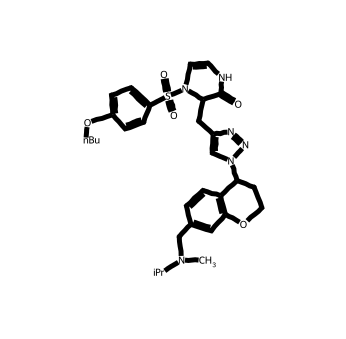 CCCCOc1ccc(S(=O)(=O)N2C=CNC(=O)C2Cc2cn(C3CCOc4cc(CN(C)C(C)C)ccc43)nn2)cc1